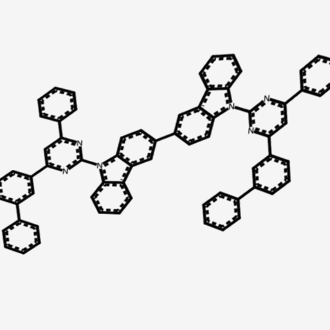 c1ccc(-c2cccc(-c3cc(-c4ccccc4)nc(-n4c5ccccc5c5cc(-c6ccc7c(c6)c6ccccc6n7-c6nc(-c7ccccc7)cc(-c7cccc(-c8ccccc8)c7)n6)ccc54)n3)c2)cc1